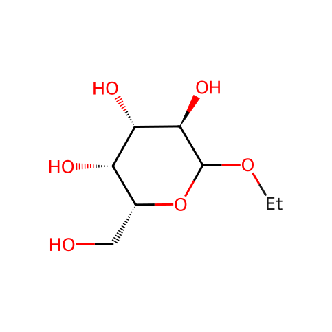 [CH2]COC1O[C@H](CO)[C@H](O)[C@H](O)[C@H]1O